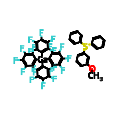 COc1cccc([S+](c2ccccc2)c2ccccc2)c1.Fc1c(F)c(F)[c]([Ga-]([c]2c(F)c(F)c(F)c(F)c2F)([c]2c(F)c(F)c(F)c(F)c2F)[c]2c(F)c(F)c(F)c(F)c2F)c(F)c1F